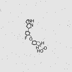 O=C(O)[C@H]1[C@@H]2Cc3cc(OCc4cc(-c5cnc6[nH]ccc6c5)ccc4F)ccc3[C@@H]21